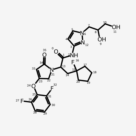 O=C(Nc1ccn(CC(O)CO)n1)C(CC1(F)CCCC1)N1CC(Oc2c(F)cccc2F)=CC1=O